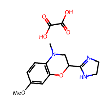 COc1ccc2c(c1)OC(C1=NCCN1)CN2C.O=C(O)C(=O)O